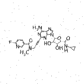 CN(CC#Cc1nc(N)c2ncn([C@@H]3O[C@H](C(=O)NC4CC4)[C@@H](O)C3O)c2n1)C(=O)c1ccc(F)nc1